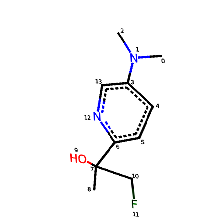 CN(C)c1ccc(C(C)(O)CF)nc1